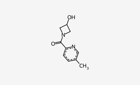 Cc1ccc(C(=O)N2CC(O)C2)nc1